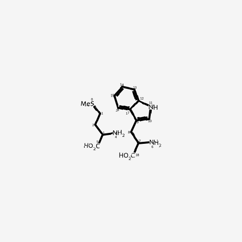 CSCCC(N)C(=O)O.NC(Cc1c[nH]c2ccccc12)C(=O)O